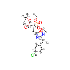 CCOP(=O)(OCC)C(Cc1nc(C(C)c2ccc(Cl)cc2)no1)C(=O)OC(C)(C)C